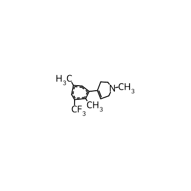 Cc1cc(C2=CCN(C)CC2)c(C)c(C(F)(F)F)c1